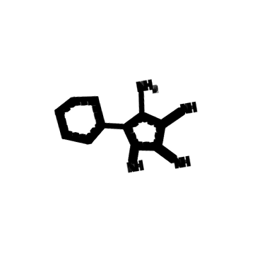 N=c1c(N)c(-c2ccccc2)c(=N)c1=N